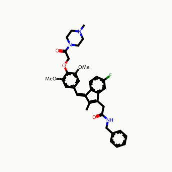 COc1cc(/C=C2/C(C)=C(CC(=O)NCc3ccccc3)c3cc(F)ccc32)cc(OC)c1OCC(=O)N1CCN(C)CC1